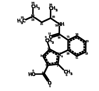 Cc1cc(C(=O)O)c(C)n1-c1ccccc1C(=O)NC(C)CN(C)C